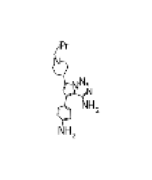 CC(C)CN1CCC(c2cc(-c3ccc(N)cc3)c3c(N)ncnn23)CC1